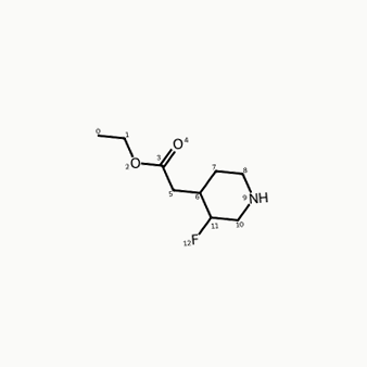 CCOC(=O)CC1CCNCC1F